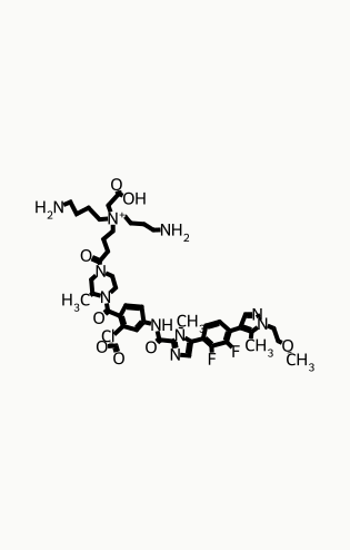 COCCn1ncc(-c2ccc(-c3cnc(C(=O)Nc4ccc(C(=O)N5CCN(C(=O)CCC[N+](CCCCN)(CCCCN)CC(=O)O)CC5C)c(Cl)c4)n3C)c(F)c2F)c1C.O=C[O-]